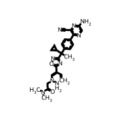 C=C/C(=C\N(N)CC(=O)N(C)C)c1nc(C(C)(c2ccc(-c3ncc(N)nc3C#N)cc2)C2CC2)no1